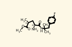 COC(=O)[C@@H](C)C[C@H](N)C(=O)NC(C)(C)Cc1ccc(F)cc1